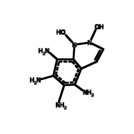 Nc1c(N)c(N)c2c(c1N)C=CN(O)N2O